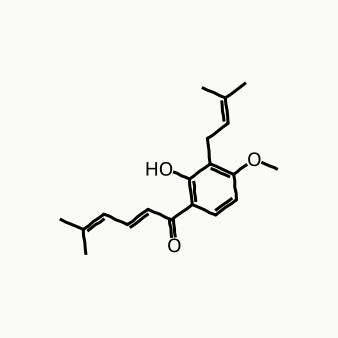 COc1ccc(C(=O)C=CC=C(C)C)c(O)c1CC=C(C)C